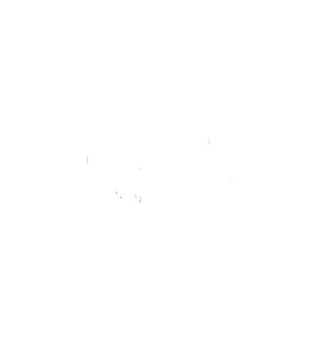 Cc1nnc(-c2ccc(F)c(F)c2)o1